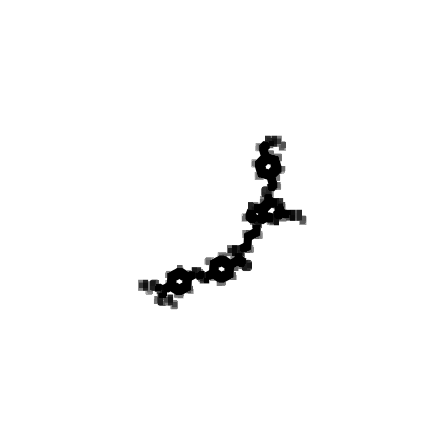 CN(C)c1ccc(N=Nc2ccc(C(=O)NCCCn3cnc4c(OCc5ccc(CN)cc5)nc(N)nc43)cc2)cc1